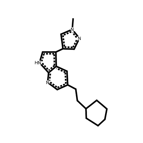 Cn1cc(-c2c[nH]c3ncc(CCC4CCCCC4)cc23)cn1